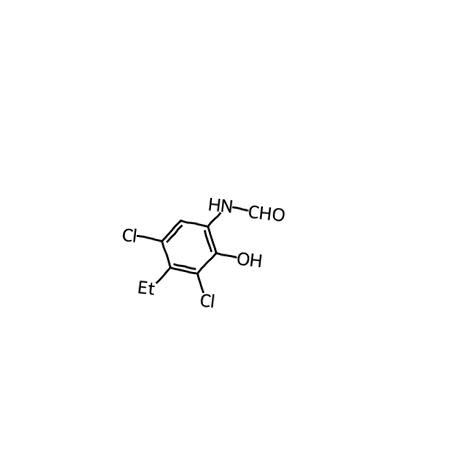 CCc1c(Cl)cc(NC=O)c(O)c1Cl